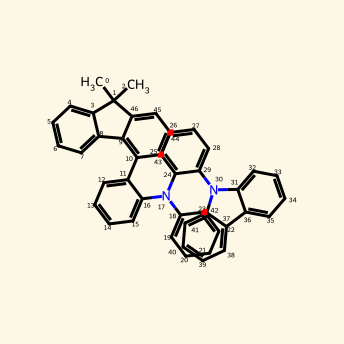 CC1(C)c2ccccc2-c2c(-c3ccccc3N(C3=CCCC=C3)c3ccccc3-n3c4ccccc4c4ccccc43)cccc21